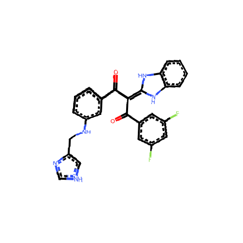 O=C(C(C(=O)c1cccc(NCc2c[nH]cn2)c1)=C1Nc2ccccc2N1)c1cc(F)cc(F)c1